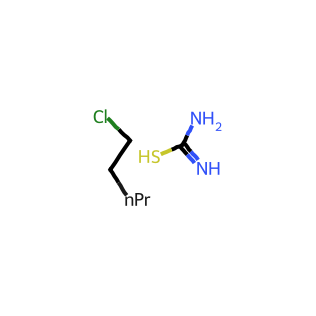 CCCCCCl.N=C(N)S